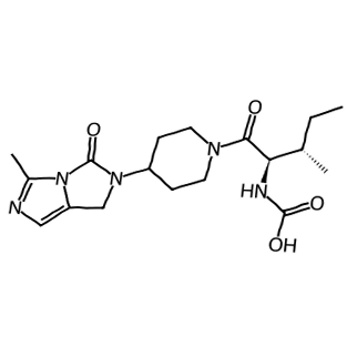 CC[C@H](C)[C@@H](NC(=O)O)C(=O)N1CCC(N2Cc3cnc(C)n3C2=O)CC1